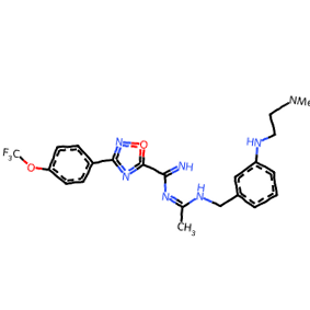 CNCCNc1cccc(CN/C(C)=N\C(=N)c2nc(-c3ccc(OC(F)(F)F)cc3)no2)c1